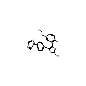 CCOCc1ccc(C)c(-c2nc(N)oc2-c2ccc(-n3cncn3)cc2)c1